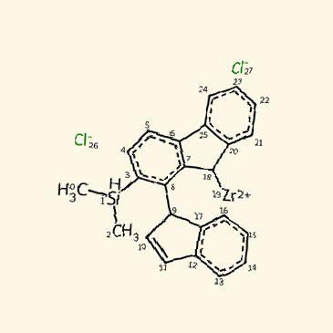 C[SiH](C)c1ccc2c(c1C1C=Cc3ccccc31)[CH]([Zr+2])c1ccccc1-2.[Cl-].[Cl-]